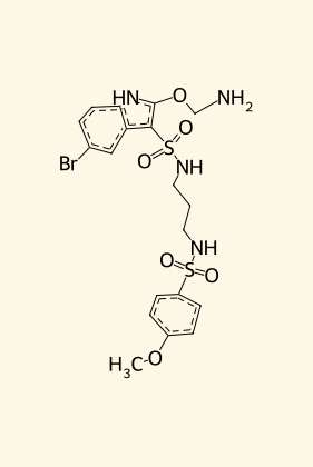 COc1ccc(S(=O)(=O)NCCCNS(=O)(=O)c2c(OCN)[nH]c3ccc(Br)cc23)cc1